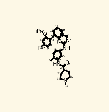 Cc1ccc(Nc2ncc3cccc(-c4ccc(F)cc4OC(C)C)c3n2)cc1NC(=O)C1CCN(C)CC1